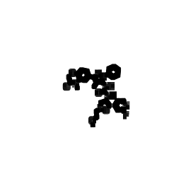 COCCN1C[C@@H](NC(=O)Nc2c(C)c(-c3ccc4c(c3)N(C)C(=O)CO4)nn2-c2ccccc2)[C@H](c2ccnc(F)c2)O1